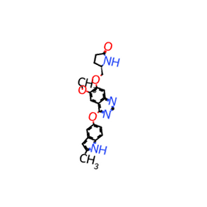 COc1cc2c(Oc3ccc4[nH]c(C)cc4c3)ncnc2cc1OC[C@H]1CCC(=O)N1